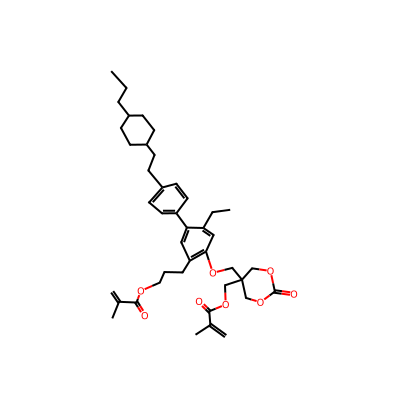 C=C(C)C(=O)OCCCc1cc(-c2ccc(CCC3CCC(CCC)CC3)cc2)c(CC)cc1OCC1(COC(=O)C(=C)C)COC(=O)OC1